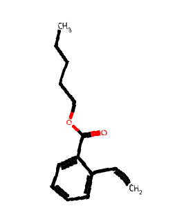 C=Cc1ccccc1C(=O)OCCCCC